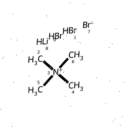 Br.Br.C[N+](C)(C)C.[Br-].[LiH]